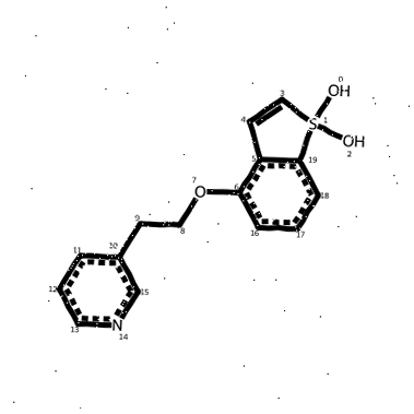 OS1(O)C=Cc2c(OCCc3cccnc3)cccc21